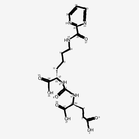 O=C(O)CC[C@H](NC(=O)N[C@@H](CCCCNC(=O)c1ncccn1)C(=O)O)C(=O)O